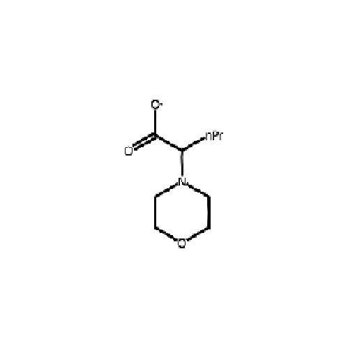 CCCC(C([O])=O)N1CCOCC1